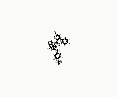 C[C@@H]1C2CC(C2)N(C(=O)c2nn(C)cc2-c2ncccn2)[C@@H]1CNc1ccc(C(F)(F)F)cn1